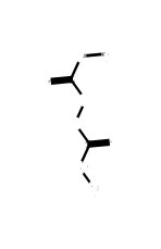 NNC(=O)SSC(=O)NN